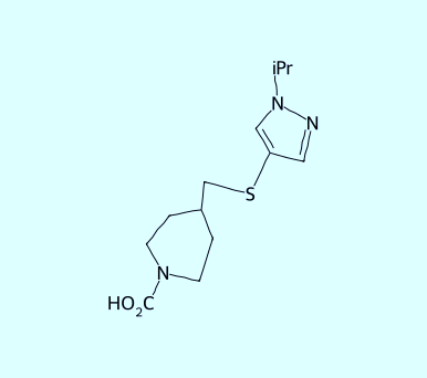 CC(C)n1cc(SCC2CCN(C(=O)O)CC2)cn1